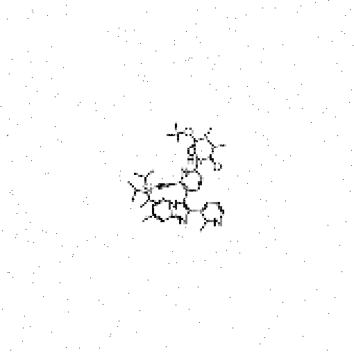 Cc1ccn2c(-c3ccc(NC(=O)C(C)N(C)C(=O)OC(C)(C)C)nc3C#C[Si](C(C)C)(C(C)C)C(C)C)c(-c3cccnc3C)nc2c1